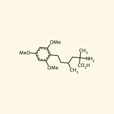 COc1cc(OC)c(CCC(C)CC(C)(N)C(=O)O)c(OC)c1